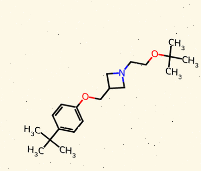 CC(C)(C)OCCN1CC(COc2ccc(C(C)(C)C)cc2)C1